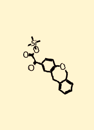 C[Si](C)(C)OC(=O)C(=O)c1ccc2c(c1)Cc1ccccc1CO2